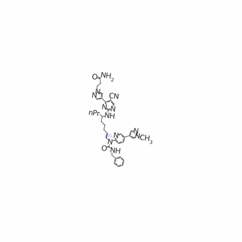 CCCC(CCC/C=C/N(C(=O)NCc1ccccc1)c1ccc(-c2cnn(C)c2)cn1)Nc1ncc(C#N)c(-c2cnn(CCC(N)=O)c2)n1